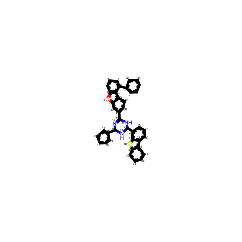 c1ccc(-c2cccc3oc4cc(C5=NC(c6ccccc6)NC(c6cccc7c6sc6ccccc67)N5)ccc4c23)cc1